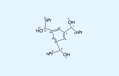 CCCC(O)c1cc(C(O)CCC)cc(C(O)CCC)c1